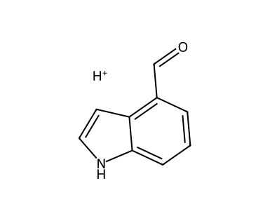 O=Cc1cccc2[nH]ccc12.[H+]